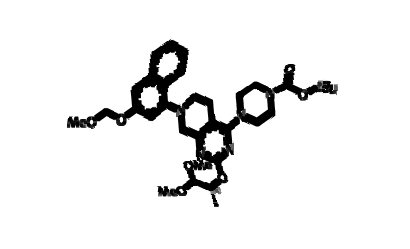 COCOc1cc(N2CCc3c(nc(O[C@H](C)C(OC)OC)nc3N3CCN(C(=O)OC(C)(C)C)CC3)C2)c2ccccc2c1